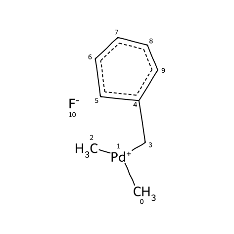 [CH3][Pd+]([CH3])[CH2]c1ccccc1.[F-]